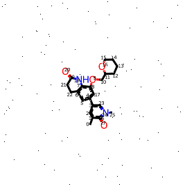 Cc1cc(-c2cc3c(c(OCC4CCCCO4)c2)NC(=O)CC3)cn(C)c1=O